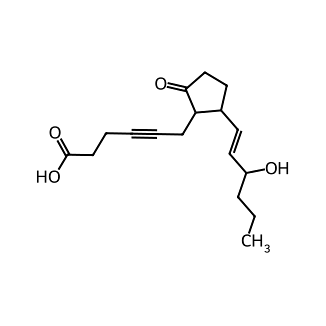 CCCC(O)C=CC1CCC(=O)C1CC#CCCC(=O)O